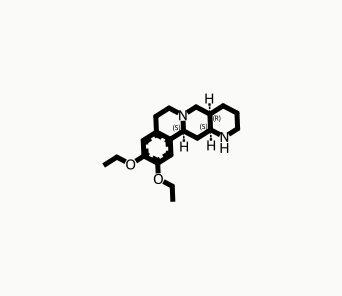 CCOc1cc2c(cc1OCC)[C@@H]1C[C@@H]3NCCC[C@@H]3CN1CC2